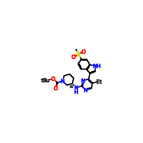 CCc1cnc(N[C@H]2CCCN(C(=O)OC(C)(C)C)C2)nc1-c1c[nH]c2cc(S(C)(=O)=O)ccc12